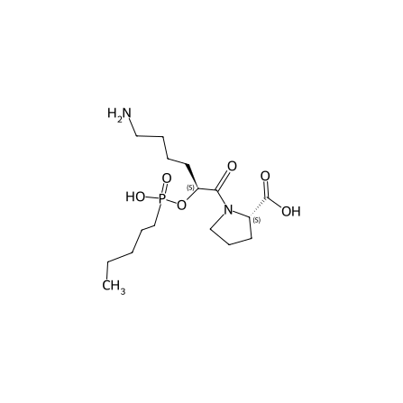 CCCCCP(=O)(O)O[C@@H](CCCCN)C(=O)N1CCC[C@H]1C(=O)O